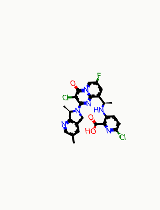 Cc1cnc2c(c1)CN(c1nc3c([C@@H](C)Nc4ccc(Cl)nc4C(=O)O)cc(F)cn3c(=O)c1Cl)[C@@H]2C